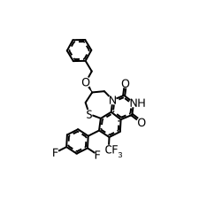 O=c1[nH]c(=O)n2c3c(c(-c4ccc(F)cc4F)c(C(F)(F)F)cc13)SC[C@@H](OCc1ccccc1)C2